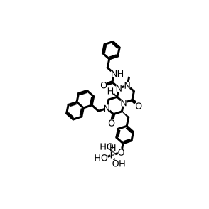 CN1CC(=O)N2[C@@H](Cc3ccc(O[PH](O)(O)O)cc3)C(=O)N(Cc3cccc4ccccc34)C[C@@H]2N1C(=O)NCc1ccccc1